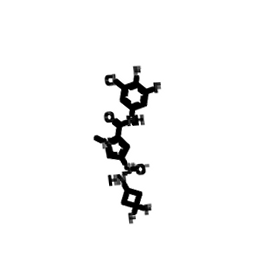 Cn1cc([S+]([O-])NC2CC(F)(F)C2)cc1C(=O)Nc1cc(F)c(F)c(Cl)c1